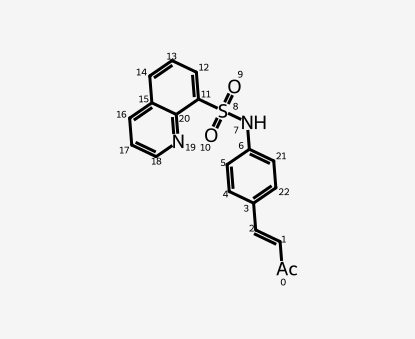 CC(=O)/C=C/c1ccc(NS(=O)(=O)c2cccc3cccnc23)cc1